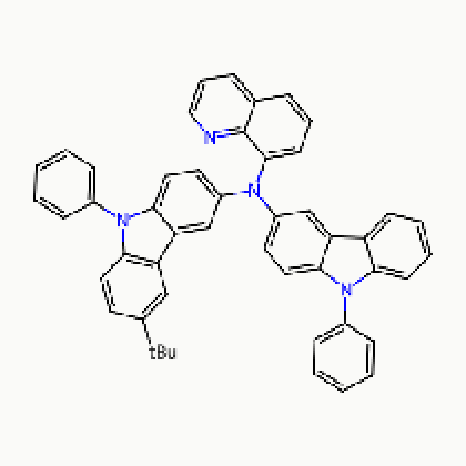 CC(C)(C)c1ccc2c(c1)c1cc(N(c3ccc4c(c3)c3ccccc3n4-c3ccccc3)c3cccc4cccnc34)ccc1n2-c1ccccc1